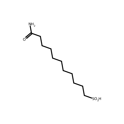 NC(=O)CCCCCCCCCCS(=O)(=O)O